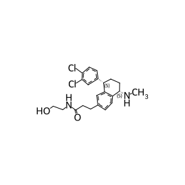 CN[C@H]1CC[C@@H](c2ccc(Cl)c(Cl)c2)c2cc(CCC(=O)NCCO)ccc21